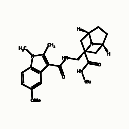 COc1ccc2c(c1)c(C(=O)NC[C@@H]1C[C@H]3CC[C@@H](C1)N3CC(=O)NC(C)(C)C)c(C)n2C